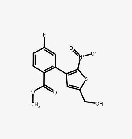 COC(=O)c1ccc(F)cc1-c1cc(CO)sc1[N+](=O)[O-]